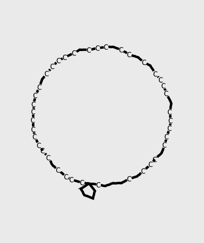 [CH]1CCCC12CCCCCCCCCCCCCCCCCCCCCCCCCCCCCCCCCCCCCCCCCCCCCCCCCCC2